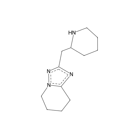 C1CCC(Cc2nc3n(n2)CCCC3)NC1